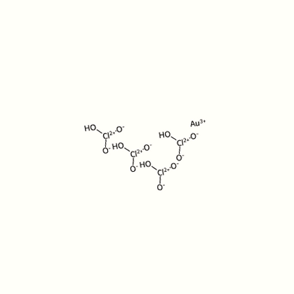 [Au+3].[O-][Cl+2]([O-])O.[O-][Cl+2]([O-])O.[O-][Cl+2]([O-])O.[O-][Cl+2]([O-])O